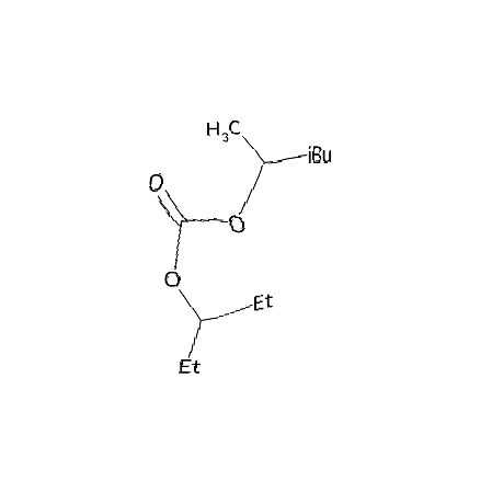 CCC(CC)OC(=O)OC(C)C(C)CC